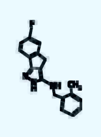 Cc1ccccc1CNc1[nH]nc2c1Cc1cc(F)ccc1-2